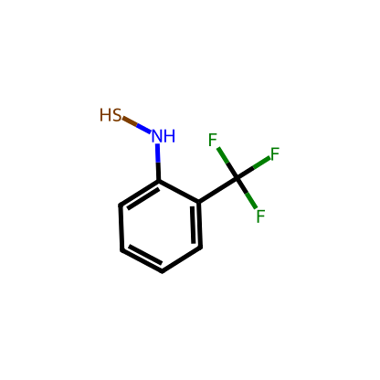 FC(F)(F)c1ccccc1NS